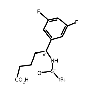 CC(C)(C)[S+]([O-])N[C@@H](CCCC(=O)O)c1cc(F)cc(F)c1